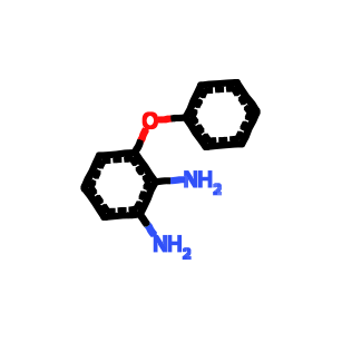 Nc1cccc(Oc2ccccc2)c1N